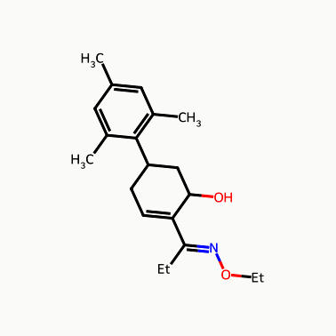 CCON=C(CC)C1=CCC(c2c(C)cc(C)cc2C)CC1O